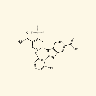 NC(=O)c1ccc(-n2c(-c3c(F)cccc3Cl)nc3cc(C(=O)O)ccc32)cc1C(F)(F)F